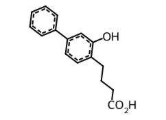 O=C(O)CCCc1ccc(-c2ccccc2)cc1O